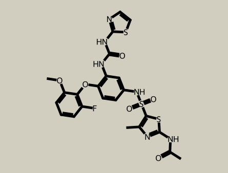 COc1cccc(F)c1Oc1ccc(NS(=O)(=O)c2sc(NC(C)=O)nc2C)cc1NC(=O)Nc1nccs1